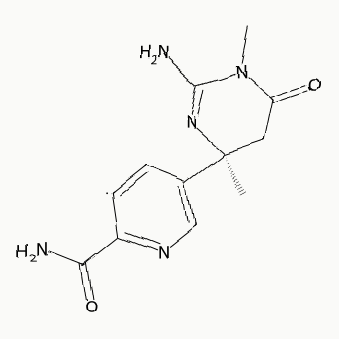 CN1C(=O)C[C@@](C)(c2c[c]c(C(N)=O)nc2)N=C1N